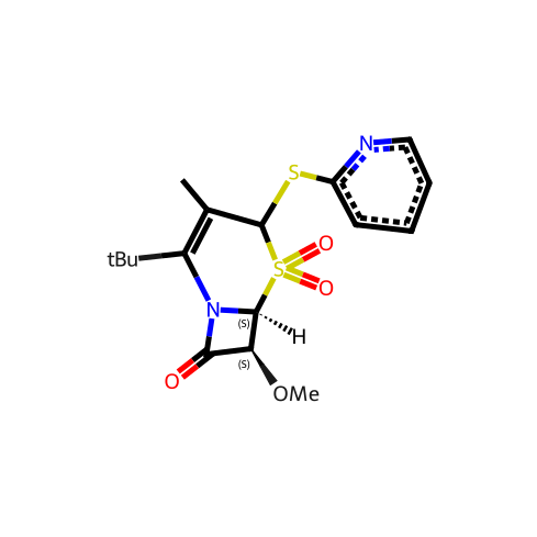 CO[C@H]1C(=O)N2C(C(C)(C)C)=C(C)C(Sc3ccccn3)S(=O)(=O)[C@@H]12